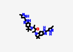 Cc1cc(-c2nc3cc4c(cc3[nH]2)N(C(C)C(=O)C(C)N2CC(C)(C)c3cc5nc(-c6cc(C)n[nH]6)[nH]c5cc32)CC4(C)C)[nH]n1